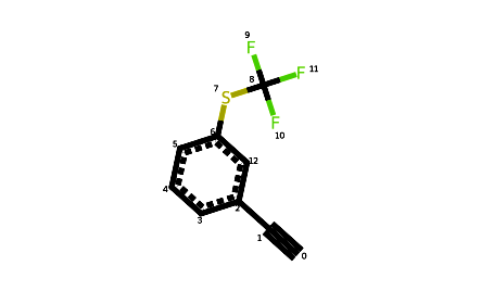 C#Cc1cccc(SC(F)(F)F)c1